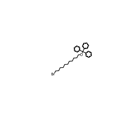 BrCCCCCCCCCCCOC(c1ccccc1)(c1ccccc1)c1ccccc1